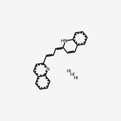 C(=Cc1ccc2ccccc2n1)C=C1C=Cc2ccccc2N1.I.I.I